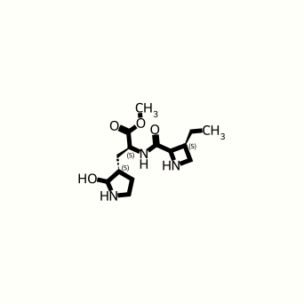 CC[C@H]1CNC1C(=O)N[C@@H](C[C@@H]1CCNC1O)C(=O)OC